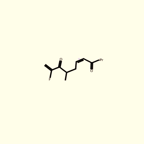 C=C(F)C(=O)C(C)C/C=C\C(=O)C(C)C